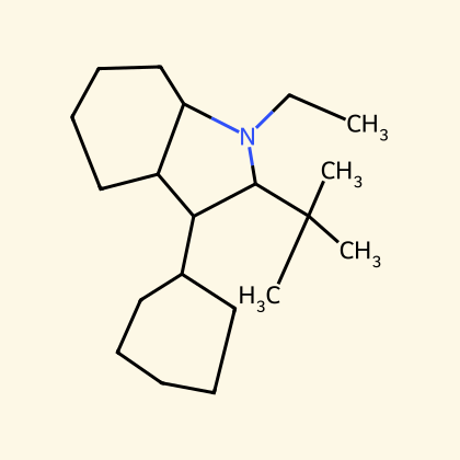 CCN1C2CCCCC2C(C2CCCCC2)C1C(C)(C)C